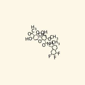 COc1cc(O)c2c(c1C(=O)NCc1c(C)ccc3c(F)c(F)c(F)cc13)OC1=CC(O)=C(C(C)=O)C(=O)[C@]12C